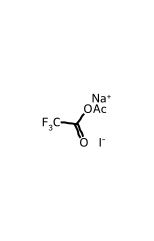 CC(=O)OC(=O)C(F)(F)F.[I-].[Na+]